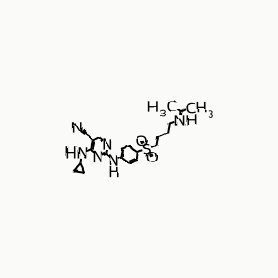 CC(C)NCCCCS(=O)(=O)c1ccc(Nc2ncc(C#N)c(NC3CC3)n2)cc1